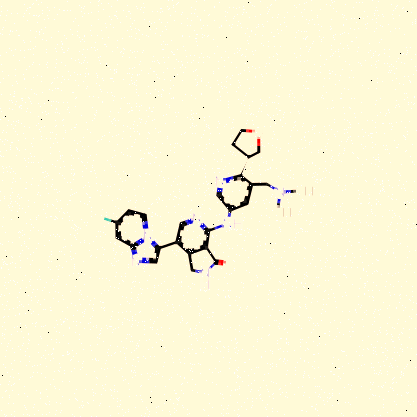 CN(C)Cc1cc(Nc2ncc(-c3cnc4cc(F)ccn34)c3c2C(=O)NC3)cnc1[C@H]1CCOC1